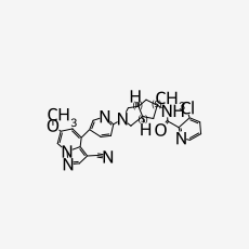 COc1cc(-c2ccc(N3C[C@@H]4C[C@@](C)(NC(=O)c5ncccc5Cl)C[C@@H]4C3)nc2)c2c(C#N)cnn2c1